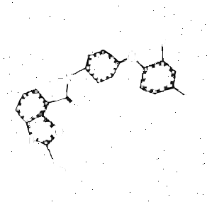 O=C(Nc1ccc(Oc2ccc(Cl)cc2Cl)cc1)c1cccc2nc(S)oc12